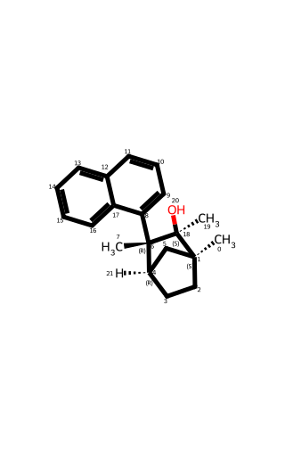 C[C@]12CC[C@H](C1)[C@](C)(c1cccc3ccccc13)[C@@]2(C)O